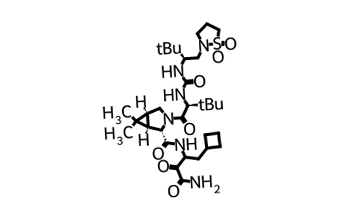 CC(C)(C)[C@H](NC(=O)N[C@H](CN1CCCS1(=O)=O)C(C)(C)C)C(=O)N1C[C@H]2[C@@H]([C@H]1C(=O)NC(CC1CCC1)C(=O)C(N)=O)C2(C)C